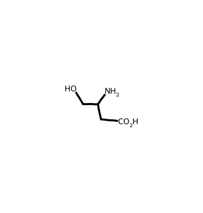 NC(CO)CC(=O)O